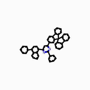 c1ccc(-c2nc(-c3ccc4c(c3)C3(c5ccccc5-c5ccccc53)c3ccccc3-4)cc(-c3ccc(-c4ccccc4)c4ccccc34)n2)cc1